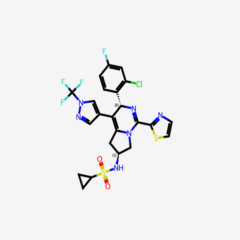 O=S(=O)(N[C@H]1CC2=C(c3cnn(C(F)(F)F)c3)[C@H](c3ccc(F)cc3Cl)N=C(c3nccs3)N2C1)C1CC1